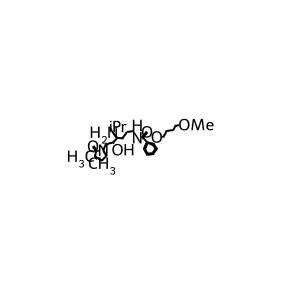 COCCCCOc1ccccc1C(=O)NCC(CC(N)C(O)CN1CCC(C)(C)C1=O)C(C)C